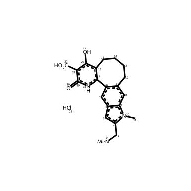 CNCc1cc2cc3c(cc2n1C)CCCCc1c-3[nH]c(=O)c(C(=O)O)c1O.Cl